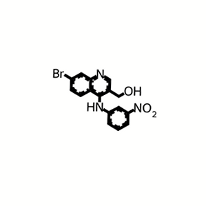 O=[N+]([O-])c1cccc(Nc2c(CO)cnc3cc(Br)ccc23)c1